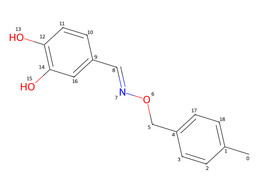 Cc1ccc(CON=Cc2ccc(O)c(O)c2)cc1